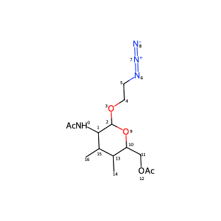 CC(=O)NC1C(OCCN=[N+]=[N-])OC(COC(C)=O)C(C)C1C